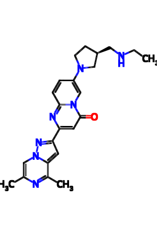 CCNC[C@@H]1CCN(c2ccc3nc(-c4cc5c(C)nc(C)cn5n4)cc(=O)n3c2)C1